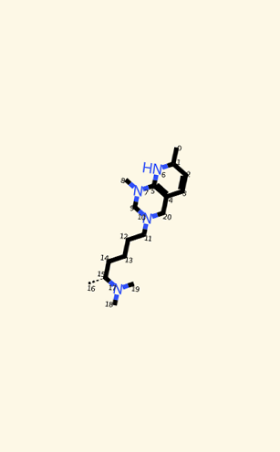 CC1C=CC2=C(N1)N(C)CN(CCCC[C@@H](C)N(C)C)C2